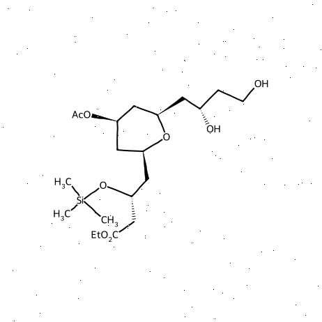 CCOC(=O)C[C@@H](C[C@H]1C[C@@H](OC(C)=O)C[C@@H](C[C@@H](O)CCO)O1)O[Si](C)(C)C